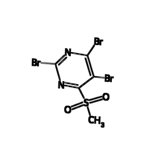 CS(=O)(=O)c1nc(Br)nc(Br)c1Br